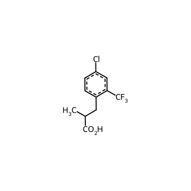 CC(Cc1ccc(Cl)cc1C(F)(F)F)C(=O)O